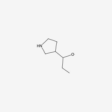 CCC([O])C1CCNC1